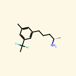 Cc1cc(CCC[C@H](C)N)cc(C(C)(F)F)c1